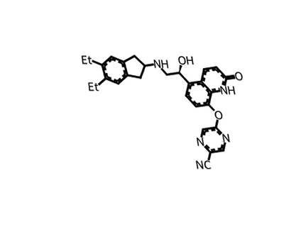 CCc1cc2c(cc1CC)CC(NC[C@@H](O)c1ccc(Oc3cnc(C#N)cn3)c3[nH]c(=O)ccc13)C2